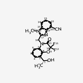 C[C@@H](O)c1cccc2c1OC(F)(F)C(=O)N2Cc1nc2c(C#N)cccc2n1C